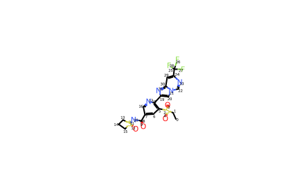 CCS(=O)(=O)c1cc(C(=O)N=S2(=O)CCC2)cnc1-c1cn2cnc(C(F)(F)F)cc2n1